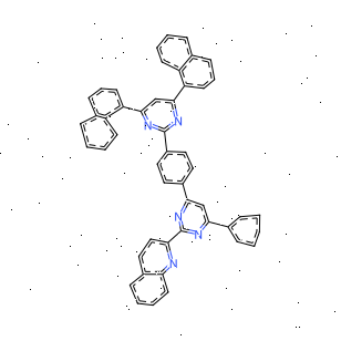 c1ccc(-c2cc(-c3ccc(-c4nc(-c5cccc6ccccc56)cc(-c5cccc6ccccc56)n4)cc3)nc(-c3ccc4ccccc4n3)n2)cc1